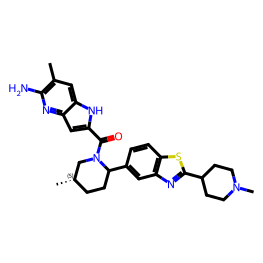 Cc1cc2[nH]c(C(=O)N3C[C@@H](C)CCC3c3ccc4sc(C5CCN(C)CC5)nc4c3)cc2nc1N